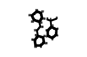 CC(C)c1ccccc1.c1ccc(CCc2ccccc2)cc1